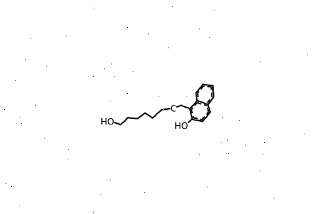 OCCCCCCCCc1c(O)ccc2ccccc12